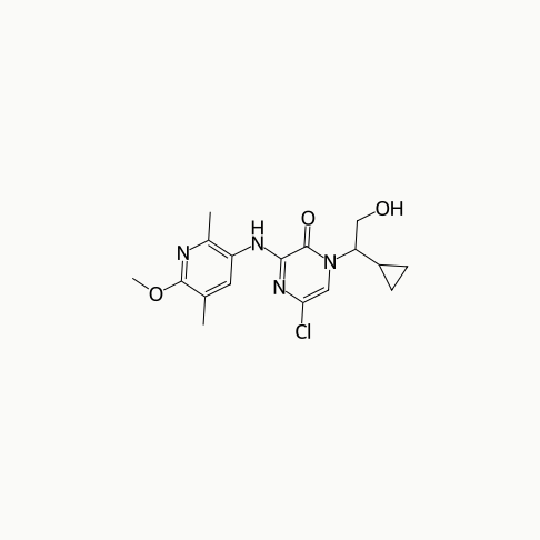 COc1nc(C)c(Nc2nc(Cl)cn(C(CO)C3CC3)c2=O)cc1C